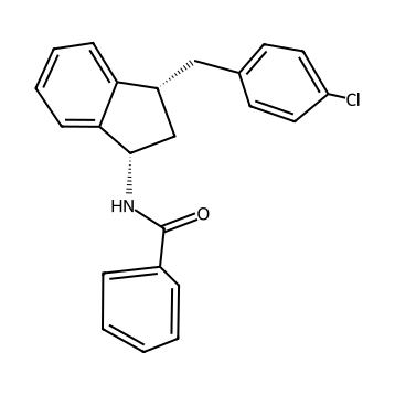 O=C(N[C@H]1C[C@@H](Cc2ccc(Cl)cc2)c2ccccc21)c1ccccc1